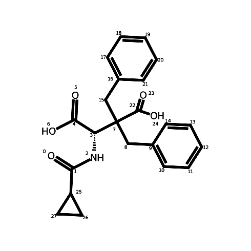 O=C(N[C@H](C(=O)O)C(Cc1ccccc1)(Cc1ccccc1)C(=O)O)C1CC1